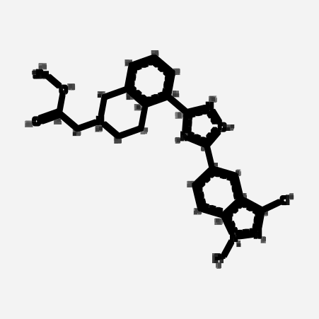 CC(C)n1nc(Cl)c2cc(-c3nc(-c4cccc5c4CCN(CC(=O)OC(C)(C)C)C5)no3)ccc21